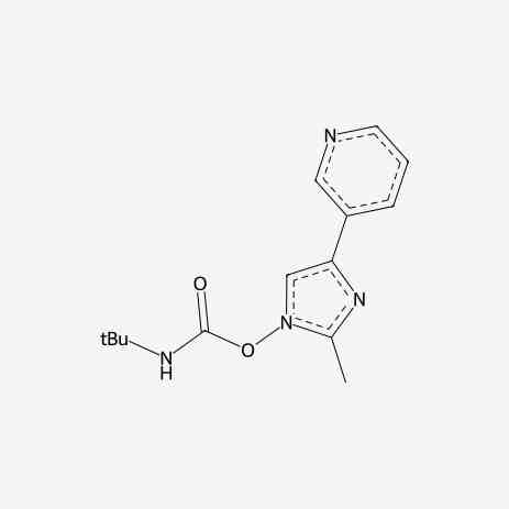 Cc1nc(-c2cccnc2)cn1OC(=O)NC(C)(C)C